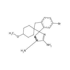 COC1CCC2(CC1)Cc1ccc(Br)cc1C21N=C(N)c2cc(N)ccc21